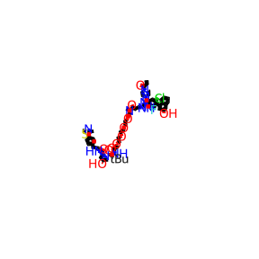 C=CC(=O)N1CCN(c2nc(NCCC(=O)N(C)CCOCCOCCOCCOCC(=O)N[C@H](C(=O)N3C[C@@H](O)C[C@H]3C(=O)NCCc3ccc(-c4scnc4C)cc3)C(C)(C)C)nc3c(F)c(-c4cc(O)cc5ccccc45)c(Cl)cc23)CC1